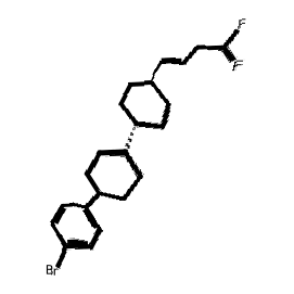 FC(F)C/C=C/[C@H]1CC[C@H](C2CCC(c3ccc(Br)cc3)CC2)CC1